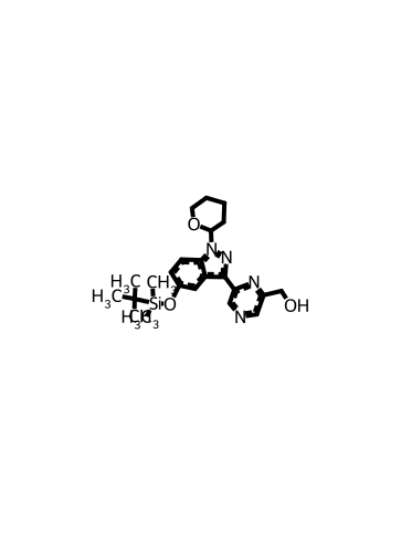 CC(C)(C)[Si](C)(C)Oc1ccc2c(c1)c(-c1cncc(CO)n1)nn2C1CCCCO1